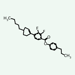 CCCCCC1CC=C(c2ccc(C(=O)Oc3ccc(CCC)cc3)c(F)c2F)CC1